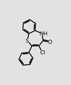 O=C1Nc2ccccc2SC(c2ccccc2)=C1Cl